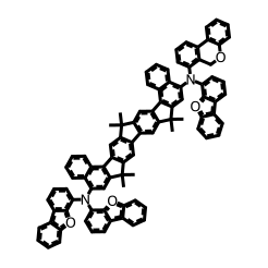 CC1(C)c2cc3c(cc2-c2cc4c(cc21)-c1c(cc(N(c2cccc5c2oc2ccccc25)c2cccc5c2oc2ccccc25)c2ccccc12)C4(C)C)C(C)(C)c1cc(N(c2cccc4c2COc2ccccc2-4)c2cccc4c2oc2ccccc24)c2ccccc2c1-3